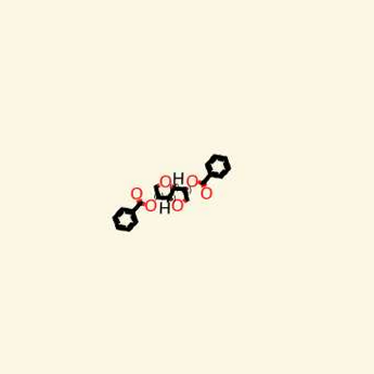 O=C(O[C@@H]1CO[C@@H]2[C@H]1OC[C@H]2OC(=O)c1ccccc1)c1ccccc1